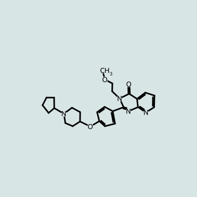 COCCn1c(-c2ccc(OC3CCN(C4CCCC4)CC3)cc2)nc2ncccc2c1=O